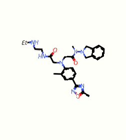 CCNCCNC(=O)CN(CC(=O)N(C)N1Cc2ccccc2C1)c1ccc(-c2noc(C)n2)cc1C